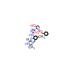 Cc1cc(CN2CCN[C@@H](C)C2)c(C)c(Nc2nnc([C@@H]3[C@H](O)CCN3C(=O)OCc3ccccc3)o2)c1